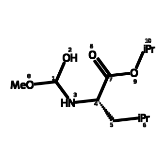 COC(O)N[C@@H](CC(C)C)C(=O)OC(C)C